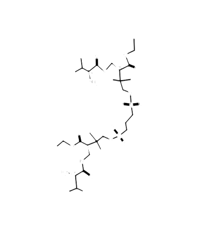 CCOC(=O)[C@H](CNC(=O)[C@@H](N)C(C)C)C(C)(C)COS(=O)(=O)CCCS(=O)(=O)OCC(C)(C)[C@@H](CNC(=O)[C@@H](N)C(C)C)C(=O)OCC